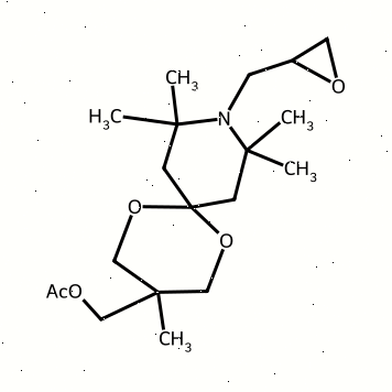 CC(=O)OCC1(C)COC2(CC(C)(C)N(CC3CO3)C(C)(C)C2)OC1